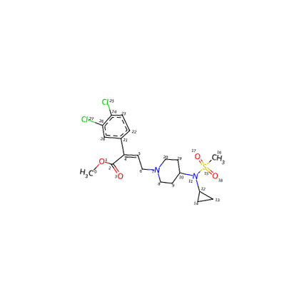 COC(=O)/C(=C\CN1CCC(N(C2CC2)S(C)(=O)=O)CC1)c1ccc(Cl)c(Cl)c1